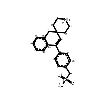 CS(=O)(=O)Cc1ccc(C2=CC3(CCNCC3)Cc3ccccc32)cc1